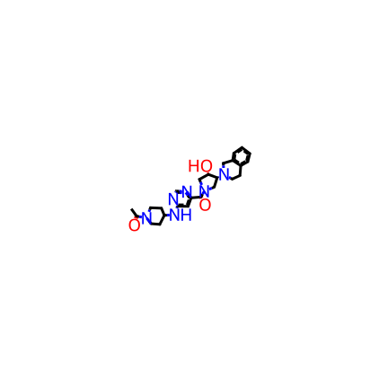 CC(=O)N1CCC(Nc2cc(C(=O)N3C[C@@H](O)[C@H](N4CCc5ccccc5C4)C3)ncn2)CC1